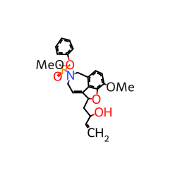 C=CC(O)CC1Oc2c(OC)ccc3c2C1=CCN(P(=O)(OC)Oc1ccccc1)C3